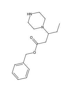 CCC(CC(=O)OCc1ccccc1)N1CCNCC1